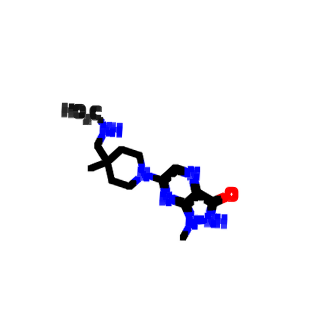 Cn1[nH]c(=O)c2ncc(N3CCC(C)(CNC(=O)O)CC3)nc21